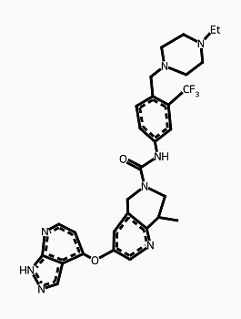 CCN1CCN(Cc2ccc(NC(=O)N3Cc4cc(Oc5ccnc6[nH]ncc56)cnc4C(C)C3)cc2C(F)(F)F)CC1